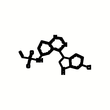 C=CS(=O)(=O)Nc1ccc2ncnc(C3CNc4cc(Cl)ccc43)c2c1